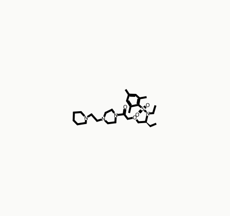 CC[C@@H](COCC(=O)N1CCN(CCN2CCCCC2)CC1)N(CC)S(=O)(=O)c1c(C)cc(C)cc1C